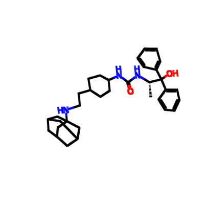 C[C@H](NC(=O)NC1CCC(CCNC23CC4CC(CC(C4)C2)C3)CC1)C(O)(c1ccccc1)c1ccccc1